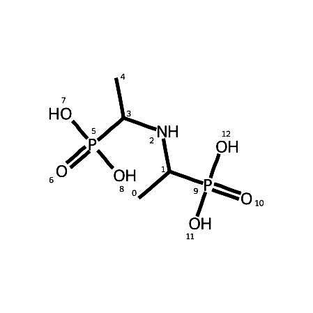 CC(NC(C)P(=O)(O)O)P(=O)(O)O